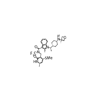 CSc1cc(C)[nH]c(=O)c1CN(C(=O)c1c(C)n([C@H](C)C2CCC(NC3(C)COC3)CC2)c2ccccc12)C(F)(F)F